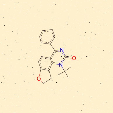 CC(C)(C)n1c(=O)nc(-c2ccccc2)c2ccc3c(c21)CCO3